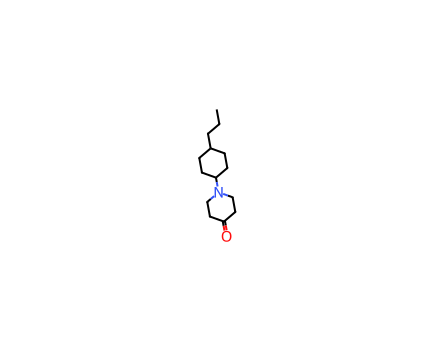 CCCC1CCC(N2CCC(=O)CC2)CC1